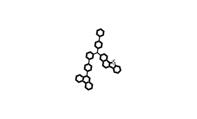 c1ccc(-c2ccc(C(c3cccc(-c4ccc(-c5cc6ccccc6c6ccccc56)cc4)c3)c3ccc4c(ccc5c6ccccc6sc45)c3)cc2)cc1